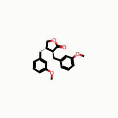 COc1cccc(C[C@@H]2COC(=O)[C@H]2Cc2cccc(OC)c2)c1